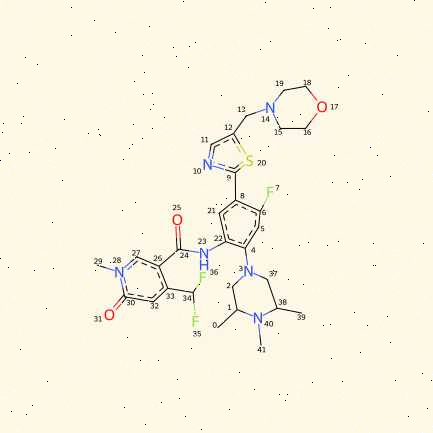 CC1CN(c2cc(F)c(-c3ncc(CN4CCOCC4)s3)cc2NC(=O)c2cn(C)c(=O)cc2C(F)F)CC(C)N1C